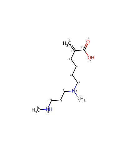 C=C(CCCCN(C)CCCNC)C(=O)O